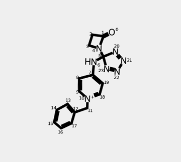 O=C1CCN1C1(Nc2cc[n+](Cc3ccccc3)cc2)N=NN=N1